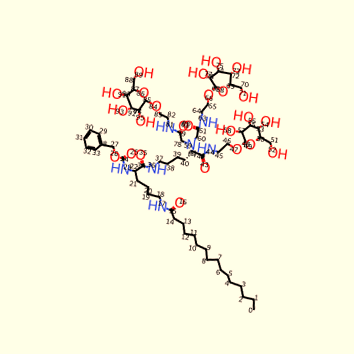 CCCCCCCCCCCCCCCC(=O)NCCCCC(NC(=O)OCc1ccccc1)C(=O)NCCCC[C@@H](C(=O)NCCOC1OC(CO)C(O)C(O)C1O)N(CC(=O)NCCOC1OC(CO)C(O)C(O)C1O)CC(=O)NCCOC1OC(CO)C(O)C(O)C1O